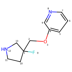 FC1(COc2cccnc2)CCNC1